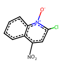 O=[N+]([O-])c1cc(Cl)[n+]([O-])c2ccccc12